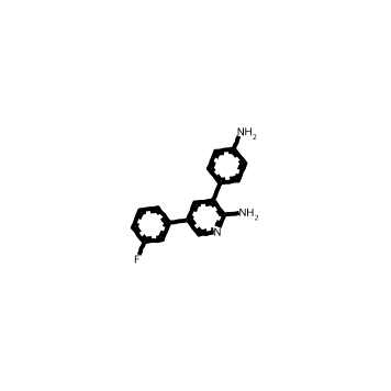 Nc1ccc(-c2cc(-c3cccc(F)c3)cnc2N)cc1